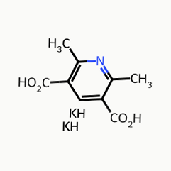 Cc1nc(C)c(C(=O)O)cc1C(=O)O.[KH].[KH]